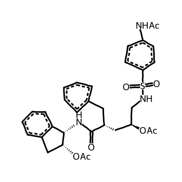 CC(=O)Nc1ccc(S(=O)(=O)NC[C@H](C[C@@H](Cc2ccccc2)C(=O)N[C@H]2c3ccccc3C[C@H]2OC(C)=O)OC(C)=O)cc1